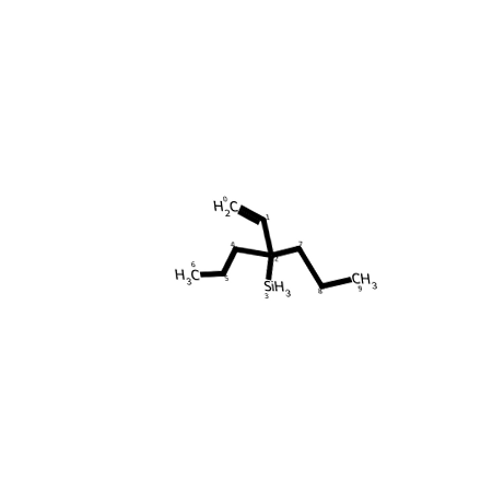 C=CC([SiH3])(CCC)CCC